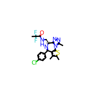 Cc1sc2c(c1C)C(c1ccc(Cl)cc1)=N[C@@H](CNC(=O)C(C)(F)F)c1nnc(C)n1-2